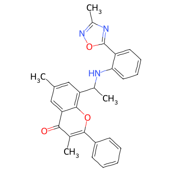 Cc1cc(C(C)Nc2ccccc2-c2nc(C)no2)c2oc(-c3ccccc3)c(C)c(=O)c2c1